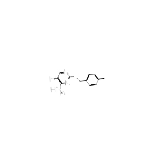 Cc1ccc(COc2ncc(F)c(NO)n2)cc1